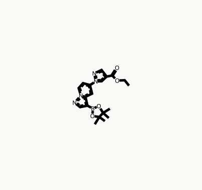 CCOC(=O)c1cnn(-c2ccn3ncc(B4OC(C)(C)C(C)(C)O4)c3c2)c1